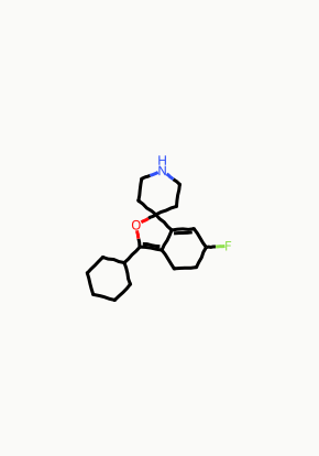 FC1C=C2C(=C(C3CCCCC3)OC23CCNCC3)CC1